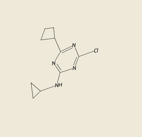 Clc1nc(NC2CC2)nc(C2CCC2)n1